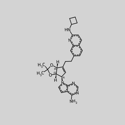 CC1(C)O[C@@H]2[C@H](O1)C(CCc1ccc3ccc(NC4CCC4)nc3c1)=C[C@H]2n1ccc2c(N)ncnc21